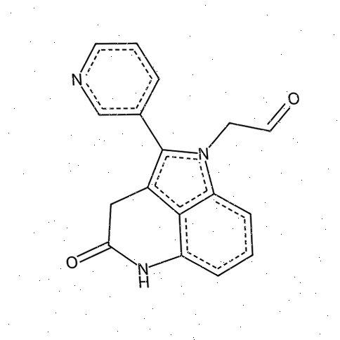 O=CCn1c(-c2cccnc2)c2c3c(cccc31)NC(=O)C2